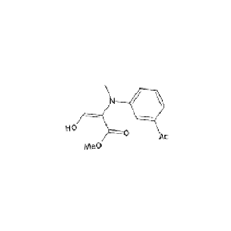 COC(=O)C(=CO)N(C)c1cccc(C(C)=O)c1